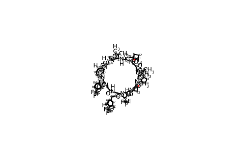 CC[C@H](C)[C@@H]1NC(=O)[C@H](CC2CCCC2)N(C)C(=O)C[C@@H](C(=O)N(C)C)N(C)C(=O)[C@H](C2CCCC2)N(C)C(=O)C2(CCC2)NC(=O)[C@@H]2C[C@@H](C(F)(F)F)CN2C(=O)[C@H](CCc2cc(F)c(C(F)(F)F)c(F)c2)NC(=O)CN(C)C(=O)[C@H](Cc2ccc(C(F)(F)F)cc2)N2CC/C=C\C[C@@H](C2=O)N(C)C(=O)CN(C)C1=O